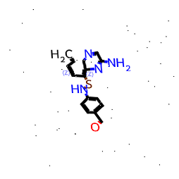 C=C/C=C\C(SNc1ccc(C=O)cc1)=C1/CN=CC(N)=N1